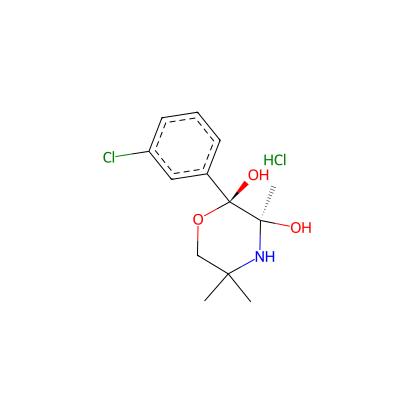 CC1(C)CO[C@](O)(c2cccc(Cl)c2)[C@@](C)(O)N1.Cl